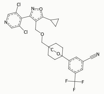 N#Cc1cc(C(F)(F)F)cc(C23CCC(COCc4c(-c5c(Cl)cncc5Cl)noc4C4CC4)(CC2)CO3)c1